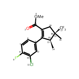 COC(=O)C1=C(c2ccc(F)c(Cl)c2)[C@H](C)[C@](C)(C(F)(F)F)C1